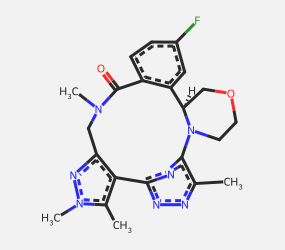 Cc1nnc2nc1N1CCOC[C@@H]1c1cc(F)ccc1C(=O)N(C)Cc1nn(C)c(C)c1-2